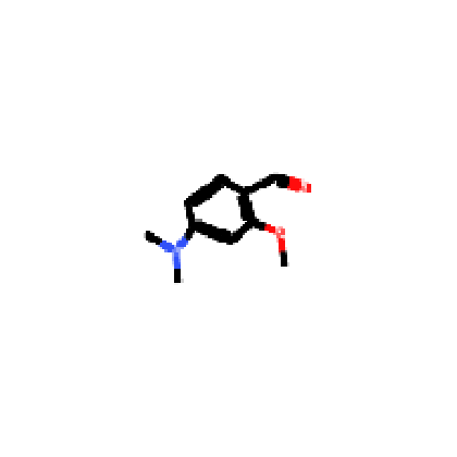 COc1cc(N(C)C)ccc1[C]=O